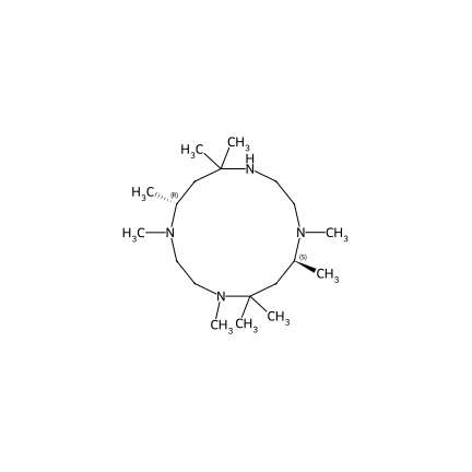 C[C@@H]1CC(C)(C)NCCN(C)[C@@H](C)CC(C)(C)N(C)CCN1C